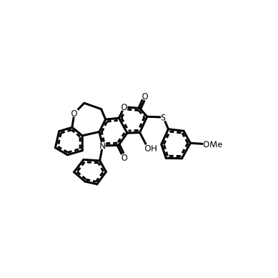 COc1cccc(Sc2c(O)c3c(=O)n(-c4ccccc4)c4c(c3oc2=O)CCOc2ccccc2-4)c1